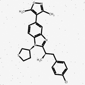 Cc1noc(C)c1-c1ccc2c(c1)nc([C@H](C)Cc1ccc(Cl)cc1)n2[C@H]1CCSC1